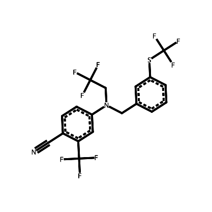 N#Cc1ccc(N(Cc2cccc(SC(F)(F)F)c2)CC(F)(F)F)cc1C(F)(F)F